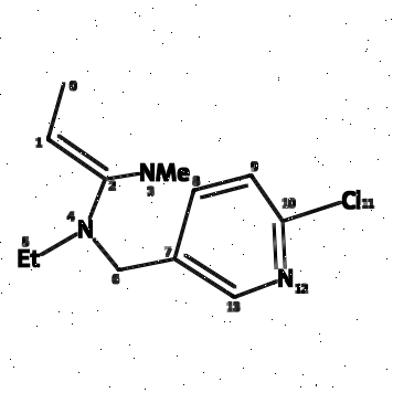 C/C=C(\NC)N(CC)Cc1ccc(Cl)nc1